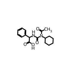 CC(=O)N(C(=O)NC(C(=O)O)c1ccccc1)C1CCCCC1